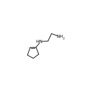 NCCNC1=[C]CCC1